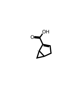 O=C(O)C1=CCC2C[C]12